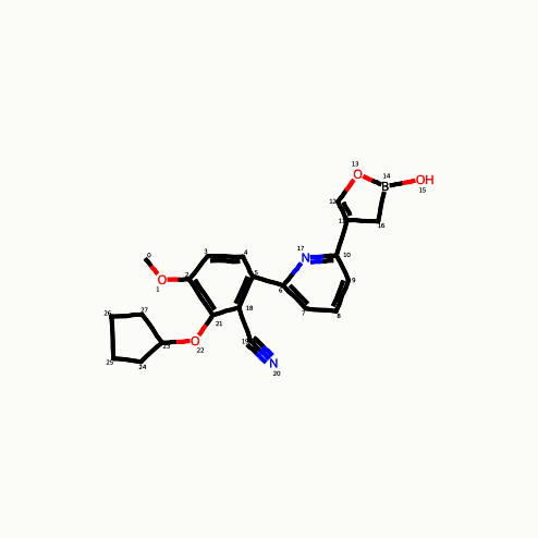 COc1ccc(-c2cccc(C3=COB(O)C3)n2)c(C#N)c1OC1CCCC1